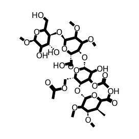 COC1C(OC)[C@H](O[C@H]2O[C@@H](COC(C)=O)[C@@H](O[C@@H]3OC(C(=O)O)[C@@H](C)[C@H](OC)C3OC)C(OC(C)=O)C2O)[C@H](C(=O)O)O[C@H]1O[C@@H]1C(CO)O[C@H](OC)C(O)[C@H]1O